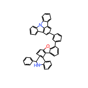 c1ccc(C2Nc3ccccc3-c3c2ccc2oc4c(-c5cccc(-c6cc7c8ccccc8n8c9ccccc9c(c6)c78)c5)cccc4c32)cc1